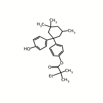 CCC(C)(C)C(=O)Oc1ccc(C2(c3ccc(O)cc3)CC(C)CC(C)(C)C2)cc1